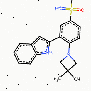 CCS(=N)(=O)c1ccc(N2CC(C#N)(C(F)(F)F)C2)c(-c2cc3ccccc3[nH]2)c1